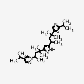 CC(C)c1cnn(C(C)CC(C)(C)c2cc(C(C)CC(C)(C)c3cnc(C(C)C)s3)[nH]n2)c1